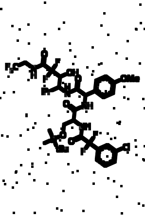 COc1ccc(C(NC(=O)C(CO[Si](C)(C)C(C)(C)C)NC(=O)C(F)(F)c2cccc(Cl)c2)C(=O)NC(C(C)C)C(O)C(F)(F)C(=O)NCC(F)(F)F)cc1